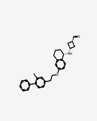 Cc1cc(CCOc2ccc3c(c2)CCC[C@@H]3N[C@H]2C[C@H](C=O)C2)ccc1-c1ccccc1